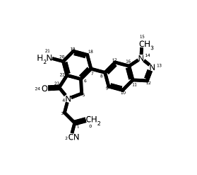 C=C(C#N)CN1Cc2c(-c3ccc4cnn(C)c4c3)ccc(N)c2C1=O